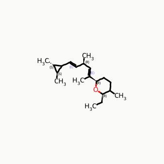 CC[C@H]1O[C@@H](/C(C)=C/[C@H](C)/C=C/C2[C@@H](C)[C@@H]2C)CCC1C